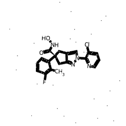 Cc1c(F)cccc1[C@]1(C(=O)NO)Cc2cn(-c3ncccc3Cl)nc2C1